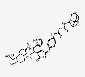 C=C1CCC2[C@](C)(CC[C@@H](O)[C@@]2(C)CO)C1CC(Nc1ncc[nH]1)C1=C/C(=C\c2ccc(NC(=O)CC(=O)NC3C4CN5CC3CN(C4)C5)cc2)OC1=O